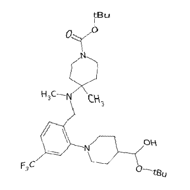 CN(Cc1ccc(C(F)(F)F)cc1N1CCC(C(O)OC(C)(C)C)CC1)C1(C)CCN(C(=O)OC(C)(C)C)CC1